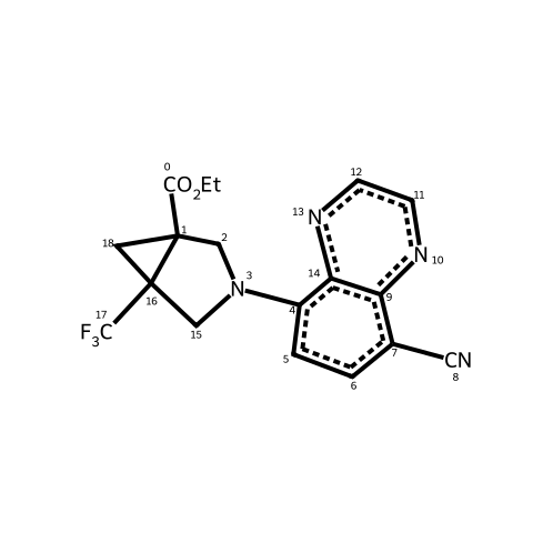 CCOC(=O)C12CN(c3ccc(C#N)c4nccnc34)CC1(C(F)(F)F)C2